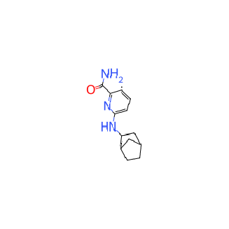 NC(=O)c1[c]ccc(NC2CC3CCC2C3)n1